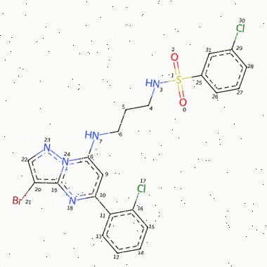 O=S(=O)(NCCCNc1cc(-c2ccccc2Cl)nc2c(Br)cnn12)c1cccc(Cl)c1